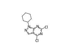 Clc1nc(Cl)c2cnn(C3CCCCC3)c2n1